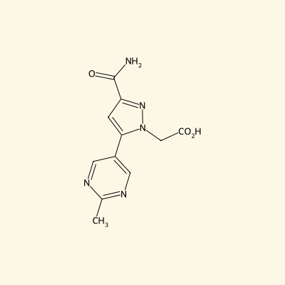 Cc1ncc(-c2cc(C(N)=O)nn2CC(=O)O)cn1